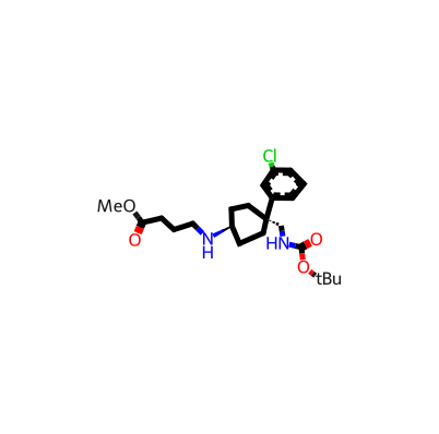 COC(=O)CCCN[C@H]1CC[C@@](CNC(=O)OC(C)(C)C)(c2cccc(Cl)c2)CC1